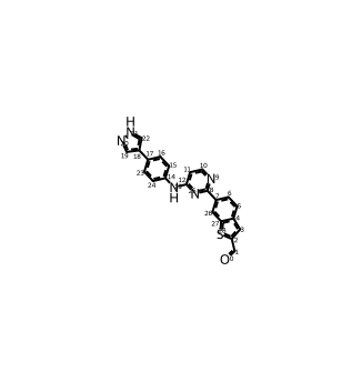 O=Cc1cc2ccc(-c3nccc(Nc4ccc(-c5cn[nH]c5)cc4)n3)cc2s1